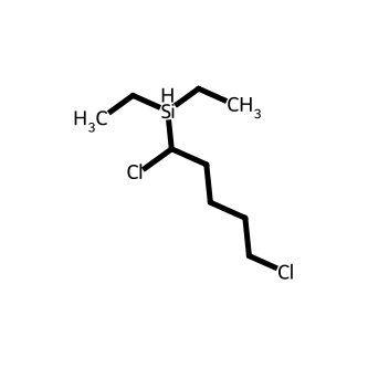 CC[SiH](CC)C(Cl)CCCCCl